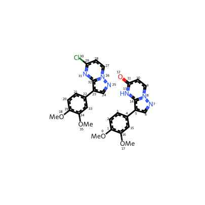 COc1ccc(-c2cnn3ccc(=O)[nH]c23)cc1OC.COc1ccc(-c2cnn3ccc(Cl)nc23)cc1OC